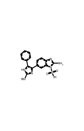 CC(C)S(=O)(=O)n1c(N)nc2ccc(-c3nc(C(C)(C)C)[nH]c3-c3ccccc3)cc21